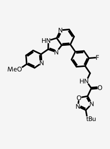 COc1ccc(-c2nc3c(-c4ccc(CNC(=O)c5nc(C(C)(C)C)no5)c(F)c4)ccnc3[nH]2)nc1